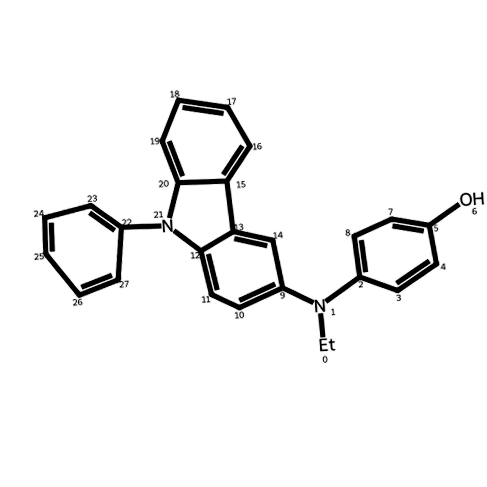 CCN(c1ccc(O)cc1)c1ccc2c(c1)c1ccccc1n2-c1ccccc1